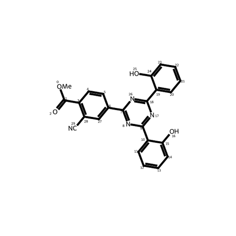 COC(=O)c1ccc(-c2nc(-c3ccccc3O)nc(-c3ccccc3O)n2)cc1C#N